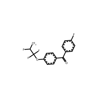 O=C(c1ccc(F)cc1)c1ccc(OC(F)(F)C(F)C(F)(F)F)cc1